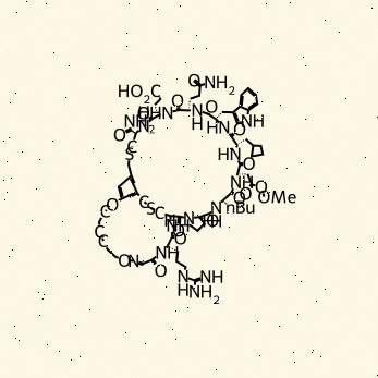 CCCC[C@@H]1NC(=O)[C@@H]2CCCN2C(=O)[C@@H]2CSCc3cc(cc(c3)OCCCCCCO/N=C/C(=O)N[C@@H](CCCNC(=N)N)C(=O)N2)CSC[C@@H](C(N)=O)NC(=O)[C@H](CCC(=O)O)NC(=O)[C@H](CCC(N)=O)NC(=O)[C@H](Cc2c[nH]c3ccccc23)NC(=O)[C@H](CC2CCC2)NC(=O)[C@H](CC(=O)OOC)NC1=O